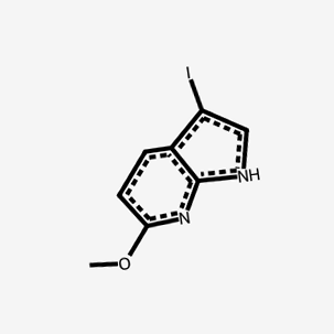 COc1ccc2c(I)c[nH]c2n1